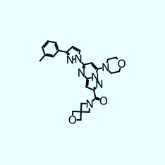 Cc1cccc(-c2ccn(-c3cc(N4CCOCC4)n4nc(C(=O)N5CC6(COC6)C5)cc4n3)n2)c1